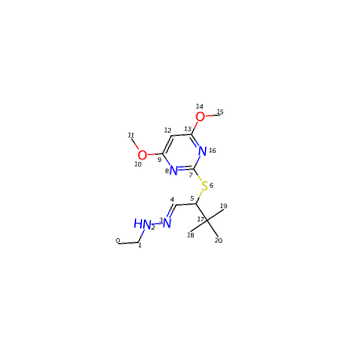 CCNN=CC(Sc1nc(OC)cc(OC)n1)C(C)(C)C